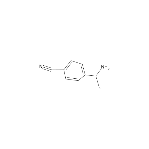 [CH2]C(N)c1ccc(C#N)cc1